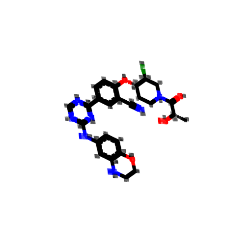 C[C@H](O)C(=O)N1CC[C@H](Oc2ccc(-c3ncnc(Nc4ccc5c(c4)NCCO5)n3)cc2C#N)[C@@H](F)C1